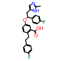 Cc1ncc(CC(Oc2ccc(CCc3ccc(F)cc3)c(C(=O)O)c2)c2ccc(F)cc2)[nH]1